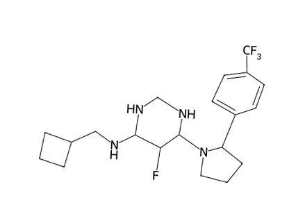 FC1C(NCC2CCC2)NCNC1N1CCCC1c1ccc(C(F)(F)F)cc1